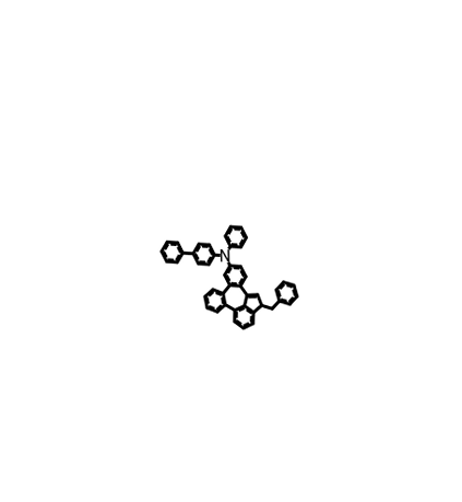 C1=C2c3ccc(N(c4ccccc4)c4ccc(-c5ccccc5)cc4)cc3-c3ccccc3-c3cccc(c32)C1Cc1ccccc1